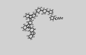 COc1cccc(-c2cccc(-c3ccc(-c4cccc(-c5ccc6c(c5)c5ccccc5n6-c5ccc6c(c5)c5ccccc5n6-c5ccc6oc7ccccc7c6c5)c4)cc3)c2)c1